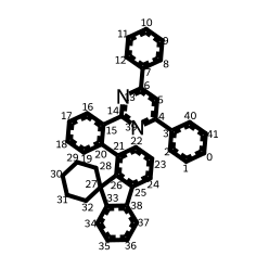 c1ccc(-c2cc(-c3ccccc3)nc(-c3ccccc3-c3cccc4c3C3(CCCCC3)c3ccccc3-4)n2)cc1